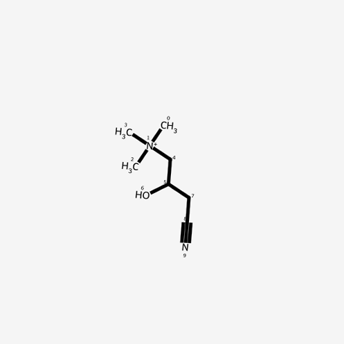 C[N+](C)(C)CC(O)CC#N